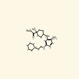 CNC(=O)C1(O)CCC(Nc2cc(OCCN3CCCCC3)ncc2[N+](=O)[O-])CC1